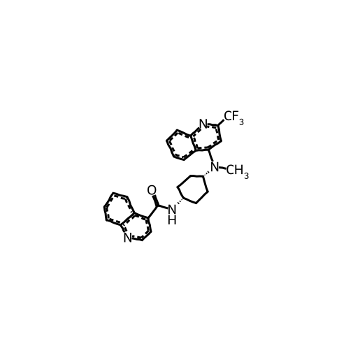 CN(c1cc(C(F)(F)F)nc2ccccc12)[C@H]1CC[C@@H](NC(=O)c2ccnc3ccccc23)CC1